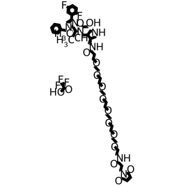 CC(C)(C)[C@H](c1nc(-c2cc(F)ccc2F)cn1Cc1ccccc1)N(CC1CNCC1CNC(=O)CCOCCOCCOCCOCCOCCOCCOCCOCCNC(=O)CCN1C(=O)C=CC1=O)C(=O)CO.O=C(O)C(F)(F)F